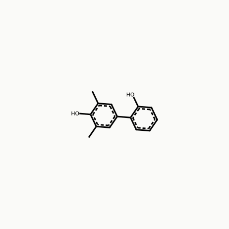 Cc1cc(-c2ccccc2O)cc(C)c1O